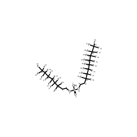 O=P(O)(OCCC(F)(F)C(F)(F)C(F)(F)C(F)(F)C(F)(F)C(F)(F)F)OCCC(F)(F)C(F)(F)C(F)(F)C(F)(F)C(F)(F)C(F)(F)C(F)(F)C(F)(F)F